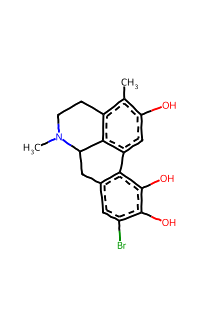 Cc1c(O)cc2c3c1CCN(C)C3Cc1cc(Br)c(O)c(O)c1-2